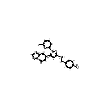 Cc1cccc(-n2nc(NCc3ccc(Cl)cc3)cc2-c2ccn3ncnc3c2)n1